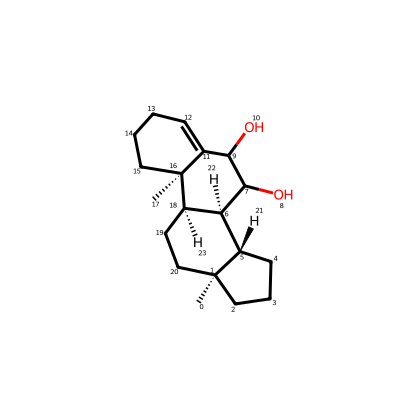 C[C@@]12CCC[C@H]1[C@@H]1C(O)C(O)C3=CCCC[C@]3(C)[C@@H]1CC2